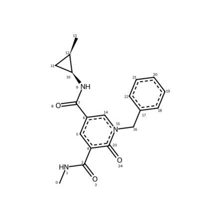 CNC(=O)c1cc(C(=O)N[C@H]2C[C@H]2C)cn(Cc2ccccc2)c1=O